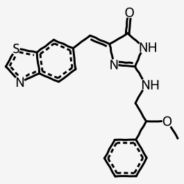 COC(CNC1=N/C(=C\c2ccc3ncsc3c2)C(=O)N1)c1ccccc1